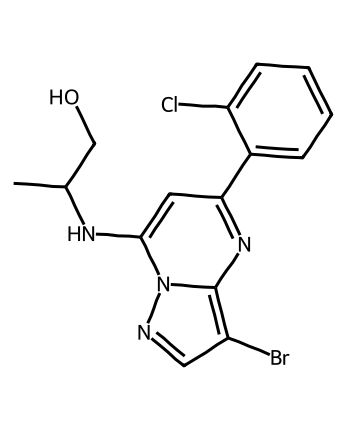 CC(CO)Nc1cc(-c2ccccc2Cl)nc2c(Br)cnn12